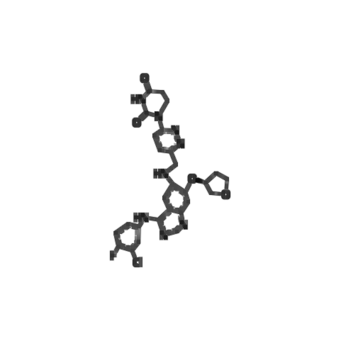 O=C1CCN(c2ccc(CNc3cc4c(Nc5ccc(F)c(Cl)c5)ncnc4cc3O[C@H]3CCOC3)nn2)C(=O)N1